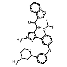 CN1CCOC(c2cccc(Oc3ccc(OC(F)F)c(-c4nn(C)cc4NC(=O)c4cnn5cccnc45)c3)c2)C1